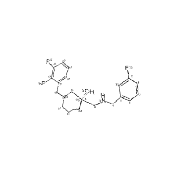 O[C@]1(CNCc2cccc(F)c2)CCCN(Cc2cccc(F)c2F)C1